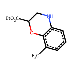 CCOC(=O)C1CNc2cccc(C(F)(F)F)c2O1